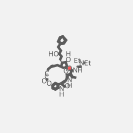 CCN(CC)CCNC(=O)c1c(C)[nH]c2c1O[C@H]1C[C@@H](O)[C@H](CC[C@H](O)CCc3ccccc3)C1C/C=C\CCCC(=O)Oc1ccc3c(c1)/C(=C/2)C(=O)N3